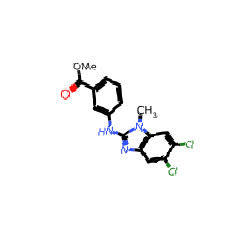 COC(=O)c1cccc(Nc2nc3cc(Cl)c(Cl)cc3n2C)c1